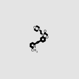 Cc1cccc(C#Cc2ccc3c(c2)N(CCN2CCOCC2)C(=O)CO3)n1